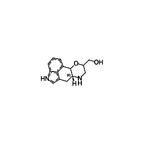 OCC1CN[C@@H]2Cc3c[nH]c4cccc(c34)C2O1